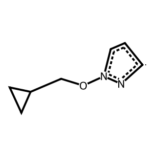 [c]1ccn(OCC2CC2)n1